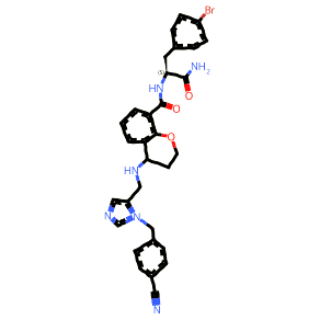 N#Cc1ccc(Cn2cncc2CNC2CCOc3c(C(=O)N[C@@H](Cc4ccc(Br)cc4)C(N)=O)cccc32)cc1